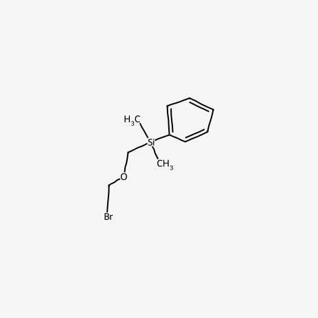 C[Si](C)(COCBr)c1ccccc1